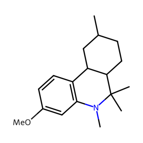 COc1ccc2c(c1)N(C)C(C)(C)C1CCC(C)CC21